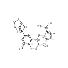 O=c1cc(N2CC3CCC(C2)O3)nc2n1CC[C@@H](C(F)(F)F)N2Cc1ccnn1C(F)F